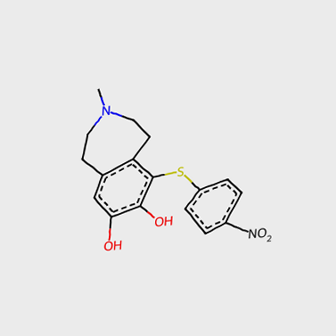 CN1CCc2cc(O)c(O)c(Sc3ccc([N+](=O)[O-])cc3)c2CC1